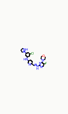 Fc1cnc(N/N=C/c2ccc(Nc3cc(Cl)cc(N4CCCN4)c3)cn2)nc1N1CCOCC1